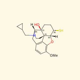 COc1ccc2c3c1O[C@H]1[C@H](S)CC[C@@]4(O)[C@@H](C2)N(CC2CC2)CC[C@]314